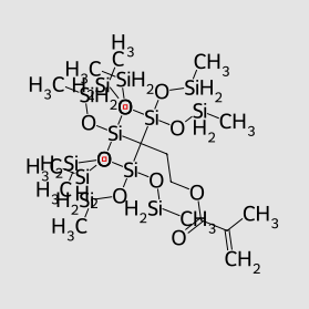 C=C(C)C(=O)OCCC([Si](O[SiH2]C)(O[SiH2]C)O[SiH2]C)([Si](O[SiH2]C)(O[SiH2]C)O[SiH2]C)[Si](O[SiH2]C)(O[SiH2]C)O[SiH2]C